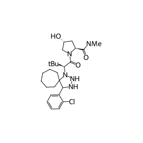 CNC(=O)[C@@H]1C[C@@H](O)CN1C(=O)[C@@H](N1NNC(c2ccccc2Cl)C12CCCCCC2)C(C)(C)C